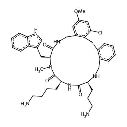 COc1cc(Cl)c2c(c1)CNC(=O)[C@H](Cc1c[nH]c3ccccc13)N(C)C(=O)[C@H](CCCCN)NC(=O)[C@H](CCCN)NCc1ccccc1S2